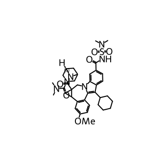 COc1ccc2c(c1)C1CC1(C(=O)N1C3C[C@H]1CN(C(=O)N(C)C)C3)Cn1c-2c(C2CCCCC2)c2ccc(C(=O)NS(=O)(=O)N(C)C)cc21